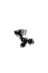 Cc1cc(-c2nc3cc(OCCN[C@H](C(=O)OC(C)C)C(C)O)ccc3n2CC2CCOCC2)cn(C)c1=O